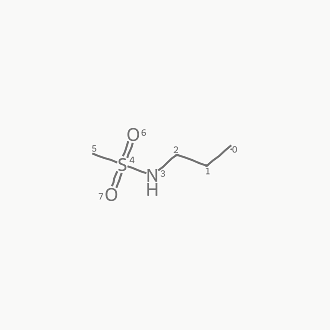 [CH2]CCNS(C)(=O)=O